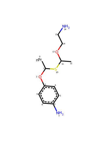 CCCC(Oc1ccc(N)cc1)SC(C)OCCN